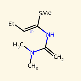 C=C(N/C(=C/CC)SC)N(C)C